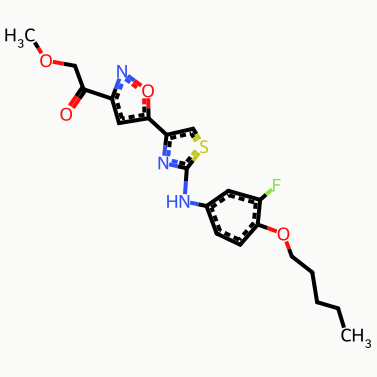 CCCCCOc1ccc(Nc2nc(-c3cc(C(=O)COC)no3)cs2)cc1F